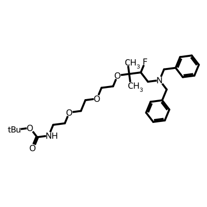 CC(C)(C)OC(=O)NCCOCCOCCOC(C)(C)C(F)CN(Cc1ccccc1)Cc1ccccc1